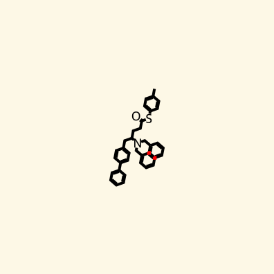 Cc1ccc(SC(=O)CCC(Cc2ccc(-c3ccccc3)cc2)N(Cc2ccccc2)Cc2ccccc2)cc1